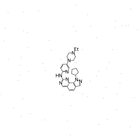 CCN1CCN(c2ccc(Nc3ncc4ccc5cnn(C6CCCC6)c5c4n3)nc2)CC1